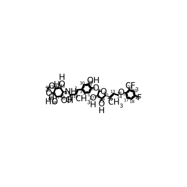 CC(=Cc1ccc(O[C@@H]2O[C@H](C(C)=CCOc3ccc(F)cc3C(F)(F)F)[C@@H](O)[C@@H]2O)c(O)c1)C(=O)N[C@@H]1[C@H](O)[C@@H](O)[C@H]2OCO[C@H]2[C@@H]1O